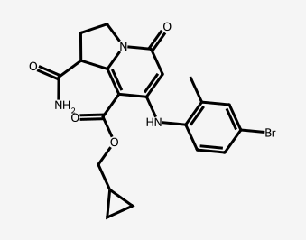 Cc1cc(Br)ccc1Nc1cc(=O)n2c(c1C(=O)OCC1CC1)C(C(N)=O)CC2